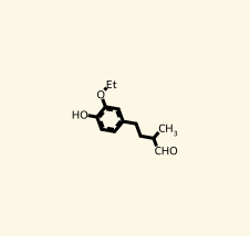 CCOc1cc(CCC(C)C=O)ccc1O